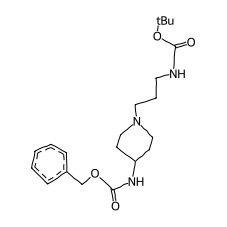 CC(C)(C)OC(=O)NCCCN1CCC(NC(=O)OCc2ccccc2)CC1